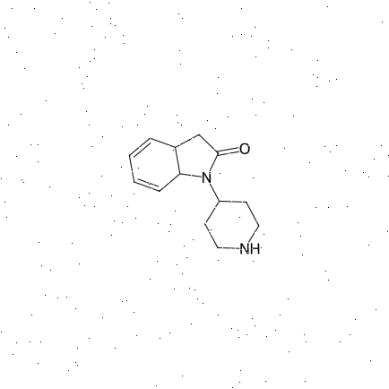 O=C1CC2C=CC=CC2N1C1CCNCC1